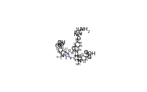 CCN1/C(=C/C=C/C=C/C2=[N+](CC)c3ccc(S(=O)(=O)O)cc3C2(C)C)C(C)(CCCC(=O)NCc2ccc(COc3nccc(N)n3)cc2)c2cc(S(=O)(=O)O)ccc21